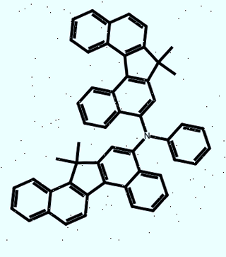 CC1(C)c2ccc3ccccc3c2-c2c1cc(N(c1ccccc1)c1cc3c(c4ccccc14)-c1ccc4ccccc4c1C3(C)C)c1ccccc21